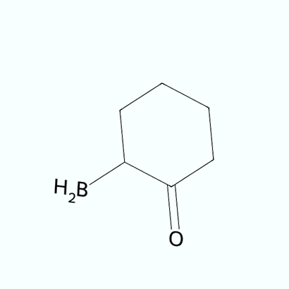 BC1CCCCC1=O